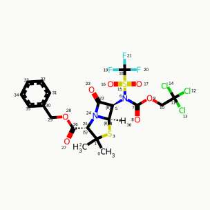 CC1(C)S[C@@H]2[C@H](N(C(=O)OCC(Cl)(Cl)Cl)S(=O)(=O)C(F)(F)F)C(=O)N2[C@H]1C(=O)OCc1ccccc1